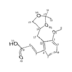 COc1cccc(/C=C/C(=O)O)c1CC1COC(C)(C)O1